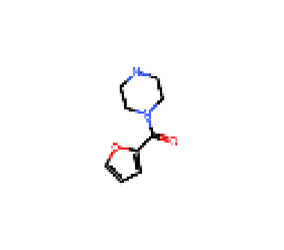 O=C(c1ccco1)N1CC[N]CC1